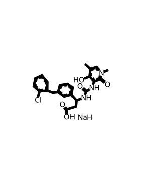 Cc1cn(C)c(=O)c(NC(=O)NC(CC(=O)O)c2cccc(Cc3ccccc3Cl)c2)c1O.[NaH]